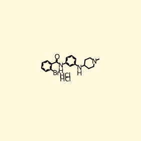 CN1CCC(Nc2cccc(NC(=O)c3ccccc3Br)c2)CC1.Cl.Cl